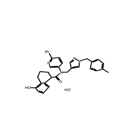 Cc1ccc(Cn2cc(CN(C(=O)C3CCCc4c(O)cccc43)c3ccc(C(C)C)nc3)cn2)cc1.Cl